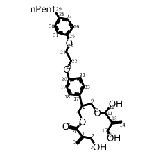 C=C(CO)C(=O)OCC(COC(O)C(=C)CO)c1ccc(OCCOc2ccc(CCCCC)cc2)cc1